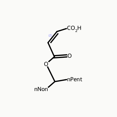 CCCCCCCCCC(CCCCC)OC(=O)/C=C\C(=O)O